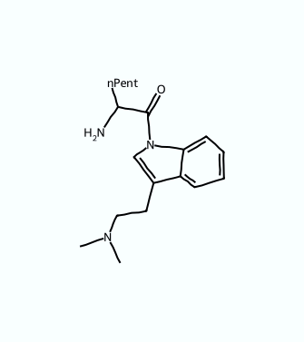 CCCCCC(N)C(=O)n1cc(CCN(C)C)c2ccccc21